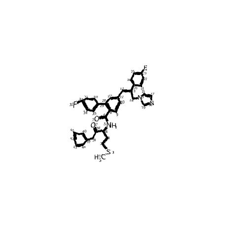 CSCCC(NC(=O)c1ccc(C=C(Cn2ccnc2)c2ccc(F)cc2)cc1-c1ccc(F)cc1)C(=O)Cc1ccccc1